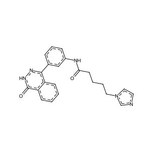 O=C(CCCCn1ccnc1)Nc1cccc(-c2n[nH]c(=O)c3ccccc23)c1